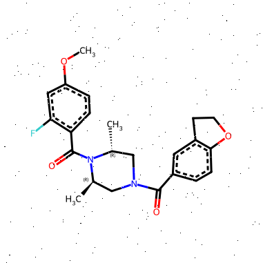 COc1ccc(C(=O)N2[C@H](C)CN(C(=O)c3ccc4c(c3)CCO4)C[C@H]2C)c(F)c1